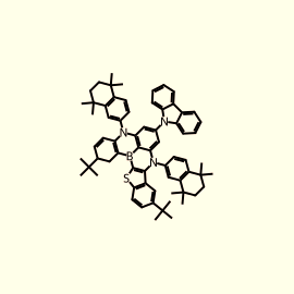 CC(C)(C)c1ccc2sc3c(c2c1)N(c1ccc2c(c1)C(C)(C)CCC2(C)C)c1cc(-n2c4ccccc4c4ccccc42)cc2c1B3C1=C(C=CC(C(C)(C)C)C1)N2c1ccc2c(c1)C(C)(C)CCC2(C)C